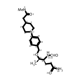 CNC(=O)CC1CCN(c2ccc(CO[C@H](C)[C@H](CCC(N)=O)NC=O)cc2)CC1